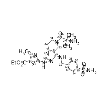 CCOC(=O)c1sc(Nc2nc3c(c(NCc4ccc(S(N)(=O)=O)cc4)n2)CN(C(=O)C(C)(C)N)CC3)nc1C